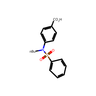 CCCCN(c1ccc(C(=O)O)cc1)S(=O)(=O)c1ccccc1